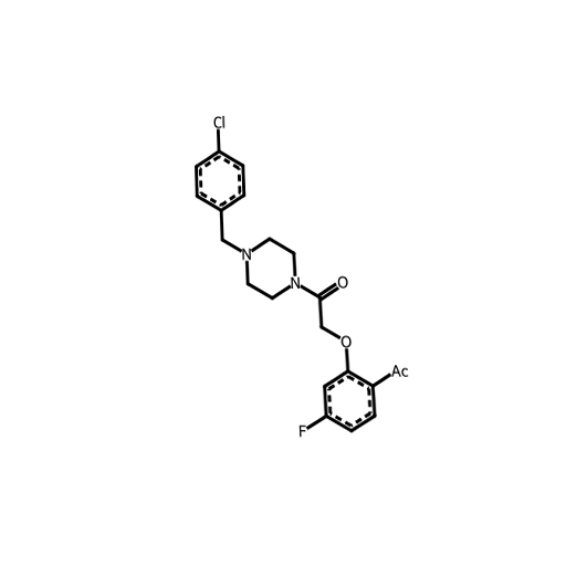 CC(=O)c1ccc(F)cc1OCC(=O)N1CCN(Cc2ccc(Cl)cc2)CC1